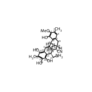 COc1c(C)cc2c(c1O)[C@@H]1[C@@H]3Cc4c(O)c(C)c(O)c(O)c4[C@H](CN)N3[C@@H](C#N)[C@@H](C2)N1C